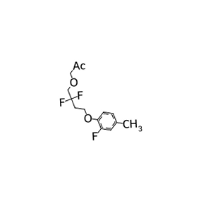 CC(=O)COCC(F)(F)CCOc1ccc(C)cc1F